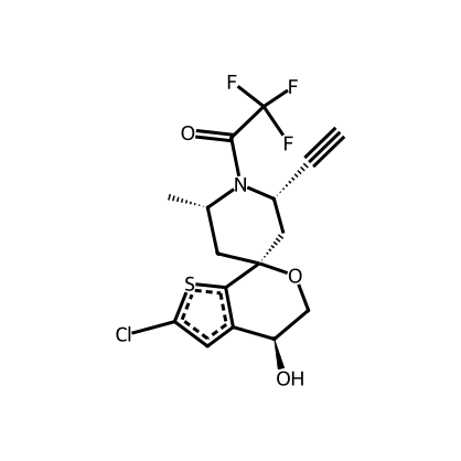 C#C[C@@H]1C[C@]2(C[C@H](C)N1C(=O)C(F)(F)F)OC[C@@H](O)c1cc(Cl)sc12